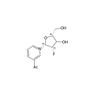 CC(=O)c1ccc[n+]([C@@H]2O[C@H](CO)C(O)[C@@H]2F)c1